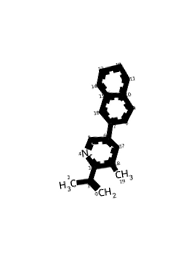 C=C(C)c1ncc(-c2ccc3ccccc3c2)cc1C